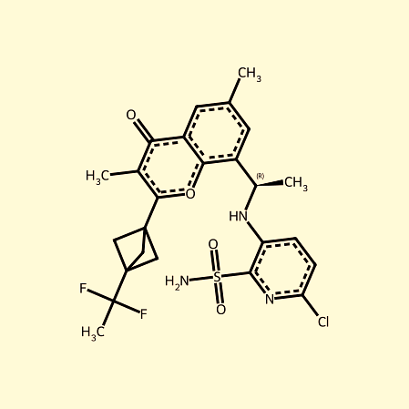 Cc1cc([C@@H](C)Nc2ccc(Cl)nc2S(N)(=O)=O)c2oc(C34CC(C(C)(F)F)(C3)C4)c(C)c(=O)c2c1